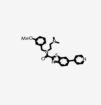 COc1cccc(CN(CCN(C)C)C(=O)c2nc3ccc(-c4ccncc4)cc3s2)c1